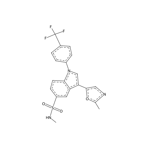 CNS(=O)(=O)c1ccc2c(c1)c(-c1cnc(C)o1)cn2-c1ccc(C(F)(F)F)cc1